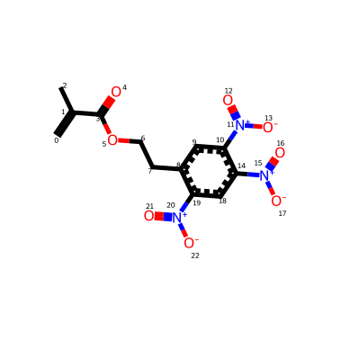 C=C(C)C(=O)OCCc1cc([N+](=O)[O-])c([N+](=O)[O-])cc1[N+](=O)[O-]